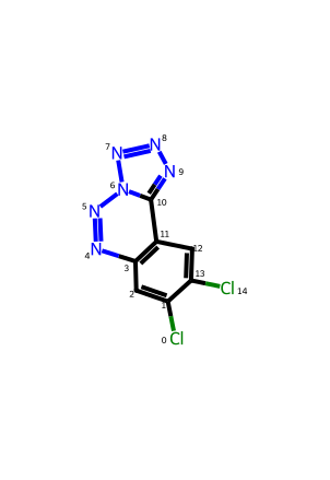 Clc1cc2nnn3nnnc3c2cc1Cl